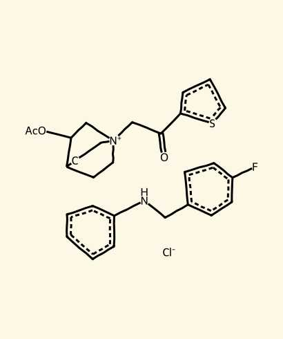 CC(=O)OC1C[N+]2(CC(=O)c3cccs3)CCC1CC2.Fc1ccc(CNc2ccccc2)cc1.[Cl-]